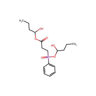 CCCC(O)OC(=O)CCP(=O)(OC(O)CCC)c1ccccc1